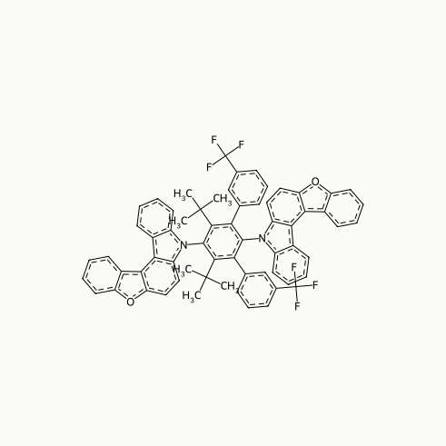 CC(C)(C)c1c(-c2cccc(C(F)(F)F)c2)c(-n2c3ccccc3c3c4c(ccc32)oc2ccccc24)c(-c2cccc(C(F)(F)F)c2)c(C(C)(C)C)c1-n1c2ccccc2c2c3c(ccc21)oc1ccccc13